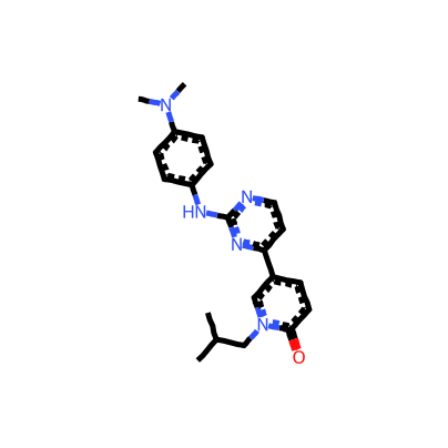 CC(C)Cn1cc(-c2ccnc(Nc3ccc(N(C)C)cc3)n2)ccc1=O